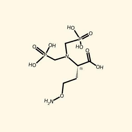 NOCC[C@@H](C(=O)O)N(CP(=O)(O)O)CP(=O)(O)O